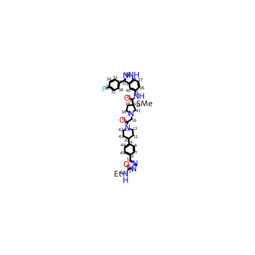 CCNc1nnc(-c2ccc(C3CCN(C(=O)CN4CC[C@@](SC)(C(=O)Nc5ccc6[nH]nc(-c7ccc(F)cc7)c6c5)C4)CC3)cc2)o1